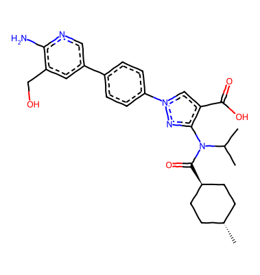 CC(C)N(c1nn(-c2ccc(-c3cnc(N)c(CO)c3)cc2)cc1C(=O)O)C(=O)[C@H]1CC[C@H](C)CC1